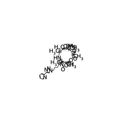 B[C@@H]1[C@H](C)C(=O)[C@](C)(F)C(=O)O[C@H](CC)[C@@]2(C)OC(=O)N(CCCCn3cc(-c4ccccn4)nn3)[C@@H]2[C@@H](C)NC[C@H](C)C[C@@]1(C)OC